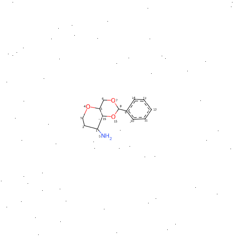 NC1CCOC2COC(c3ccccc3)OC12